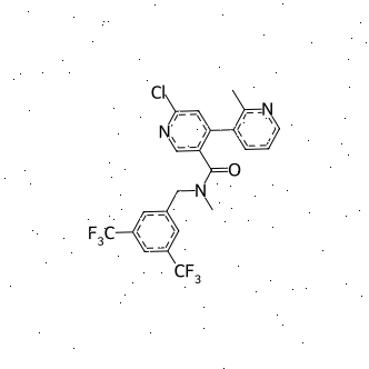 Cc1ncccc1-c1cc(Cl)ncc1C(=O)N(C)Cc1cc(C(F)(F)F)cc(C(F)(F)F)c1